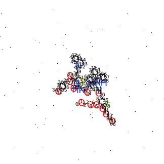 COCCOCOc1cc(CON=S2C=C(CC(=O)NC3C(=O)N4C(C(=O)OCc5ccc(OC)cc5)=C(C=CC[n+]5cccc6ccccc65)CSC34)N=C2NC(c2ccccc2)(c2ccccc2)c2ccccc2)cc(F)c1OCOCCOC